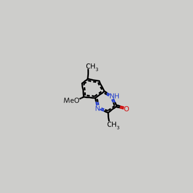 COc1cc(C)cc2[nH]c(=O)c(C)nc12